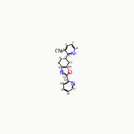 [C-]#[N+]c1cccnc1C1CCc2nc(-c3ccccn3)oc2C1